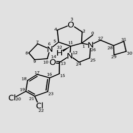 CC12COCC(N3CCCC3)[C@H]1N(C(=O)Cc1ccc(Cl)c(Cl)c1)CCN2CC1CCC1